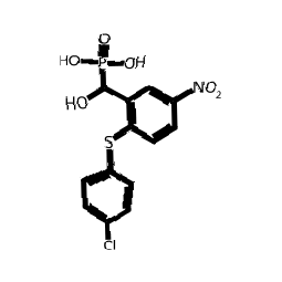 O=[N+]([O-])c1ccc(Sc2ccc(Cl)cc2)c(C(O)P(=O)(O)O)c1